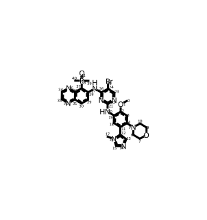 COc1cc(N2CCOCC2)c(-c2cncn2C)cc1Nc1ncc(Br)c(Nc2ccc3nccnc3c2P(C)(C)=O)n1